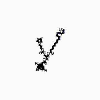 CC/C=C\C/C=C\C/C=C\CCCCCCCC(=O)OCC(COC(=O)CC12C[C@H]3C[C@H](C1)C[C@@H](C2)C3)COC(=O)OCCCN1CCCC1